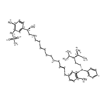 CC(C)N(CC[C@H](c1ccccc1)c1cc(CCCCOCCCCCCNC[C@H](O)c2ccc(O)c(NS(C)(=O)=O)c2)ccc1O)C(C)C